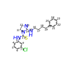 S=C(Nc1cccc(Cl)c1)N1CCN=C1NCCCCc1ccccc1